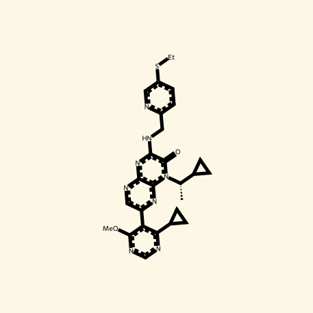 CCSc1ccc(CNc2nc3ncc(-c4c(OC)ncnc4C4CC4)nc3n([C@@H](C)C3CC3)c2=O)nc1